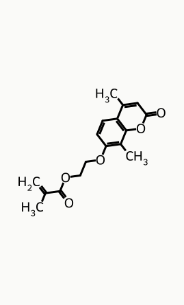 C=C(C)C(=O)OCCOc1ccc2c(C)cc(=O)oc2c1C